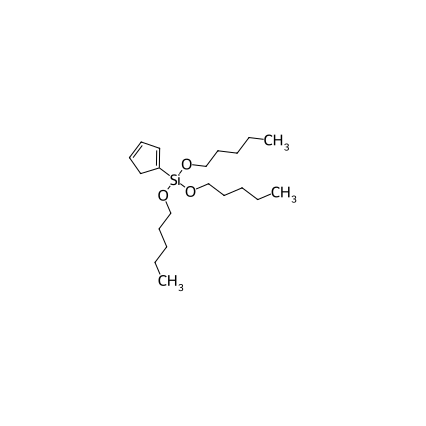 CCCCCO[Si](OCCCCC)(OCCCCC)C1=CC=CC1